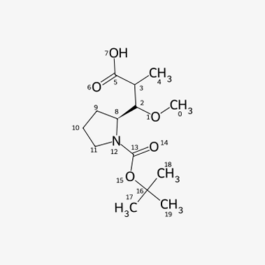 COC(C(C)C(=O)O)[C@@H]1CCCN1C(=O)OC(C)(C)C